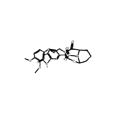 COc1ccc(OCCN2CCC3CCCC(C2=O)N3S(=O)(=O)c2ccc3sc(=O)[nH]c3c2)cc1OC